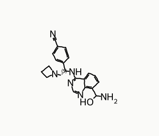 N#Cc1ccc([C@@H](CN2CCC2)Nc2ncnc3c(C(N)O)cccc23)cc1